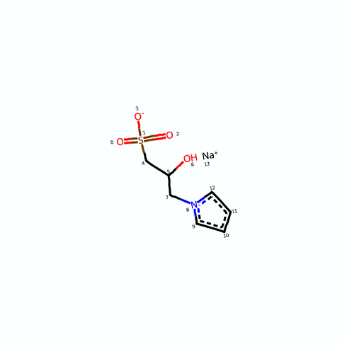 O=S(=O)([O-])CC(O)Cn1cccc1.[Na+]